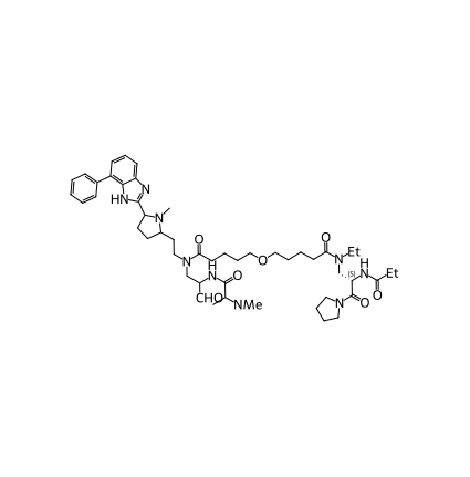 CCC(=O)N[C@@H](CN(CC)C(=O)CCCCOCCCCC(=O)N(CCC1CCC(c2nc3cccc(-c4ccccc4)c3[nH]2)N1C)CC(C=O)NC(=O)C(C)NC)C(=O)N1CCCC1